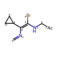 C=N/C(=C(/Br)NCC(C)=O)C1CC1